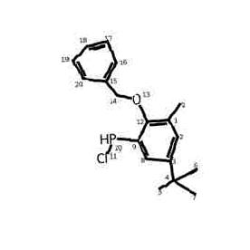 Cc1cc(C(C)(C)C)cc(PCl)c1OCc1ccccc1